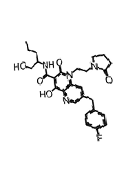 CCCC(CO)NC(=O)c1c(O)c2ncc(Cc3ccc(F)cc3)cc2n(CCN2CCCC2=O)c1=O